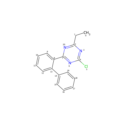 CCc1nc(Cl)nc(-c2ccccc2-c2ccccc2)n1